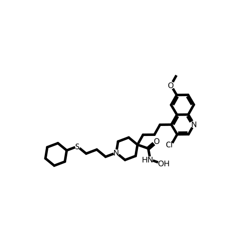 COc1ccc2ncc(Cl)c(CCCC3(C(=O)NO)CCN(CCCSC4CCCCC4)CC3)c2c1